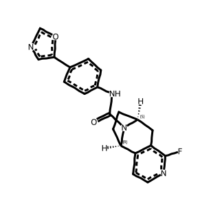 O=C(Nc1ccc(-c2cnco2)cc1)N1[C@H]2CC[C@@H]1c1ccnc(F)c1C2